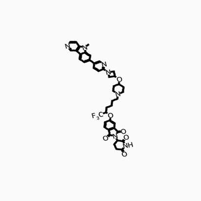 Cn1c2ccncc2c2ccc(-c3ccc(N4CC(OC5CCN(CCCCC(Oc6ccc7c(c6)C(=O)N(C6CCC(=O)NC6=O)C7=O)C(F)(F)F)CC5)C4)nc3)cc21